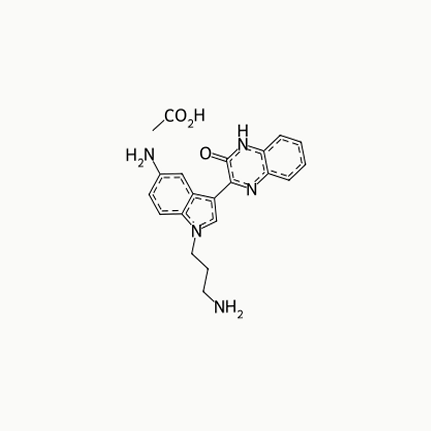 CC(=O)O.NCCCn1cc(-c2nc3ccccc3[nH]c2=O)c2cc(N)ccc21